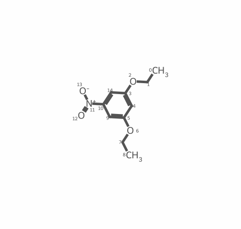 CCOc1cc(OCC)cc([N+](=O)[O-])c1